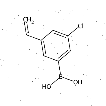 C=Cc1cc(Cl)cc(B(O)O)c1